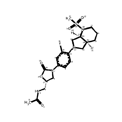 CC(=O)NC[C@H]1CN(c2ccc(N3C[C@@H]4CCCN(S(C)(=O)=O)[C@@H]4C3)c(F)c2)C(=O)O1